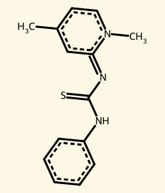 Cc1ccn(C)c(=NC(=S)Nc2ccccc2)c1